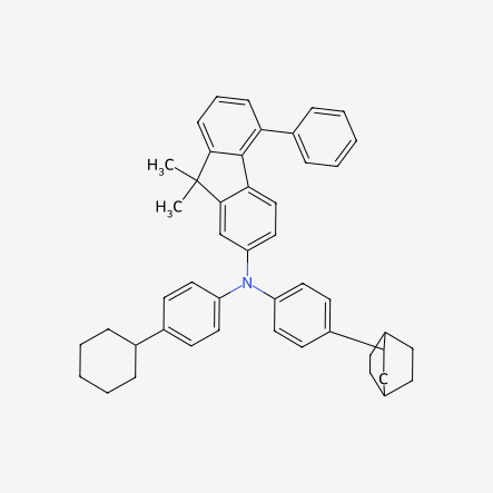 CC1(C)c2cc(N(c3ccc(C4CCCCC4)cc3)c3ccc(C4CC5CCC4CC5)cc3)ccc2-c2c(-c3ccccc3)cccc21